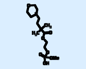 COP(=O)(O)OCCOC(=O)C(C)(C)CCN1CCOCC1